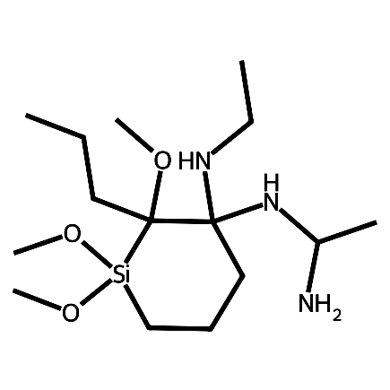 CCCC1(OC)C(NCC)(NC(C)N)CCC[Si]1(OC)OC